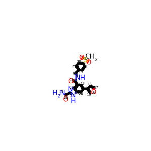 CS(=O)(=O)c1ccc(CNC(=O)c2cc(-c3ccoc3)cc3[nH]c(C(N)=O)nc23)cc1